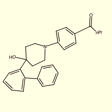 CCCC(=O)c1ccc(N2CCC(O)(c3ccccc3-c3ccccc3)CC2)cc1